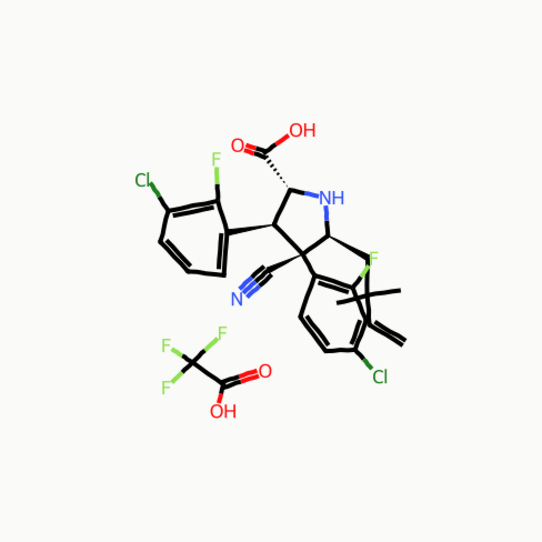 C=CC(C)(C)C[C@@H]1N[C@@H](C(=O)O)[C@H](c2cccc(Cl)c2F)[C@@]1(C#N)c1ccc(Cl)cc1F.O=C(O)C(F)(F)F